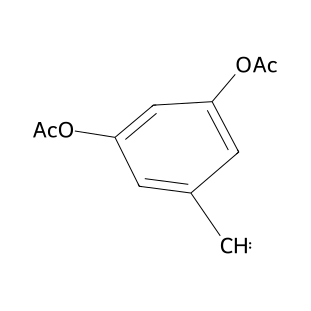 [CH]c1cc(OC(C)=O)cc(OC(C)=O)c1